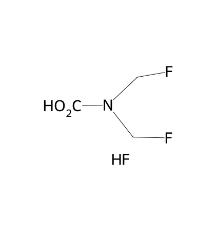 F.O=C(O)N(CF)CF